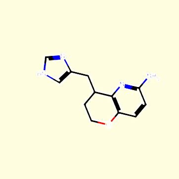 Nc1ccc2c(n1)C(Cc1c[nH]cn1)CCO2